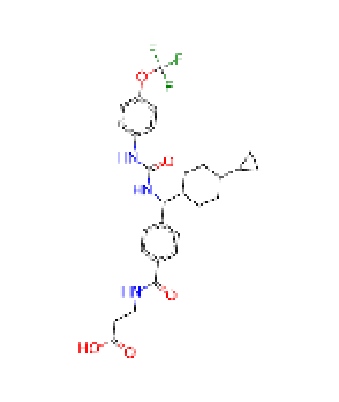 O=C(O)CCNC(=O)c1ccc(C(NC(=O)Nc2ccc(OC(F)(F)F)cc2)C2CCC(C3CC3)CC2)cc1